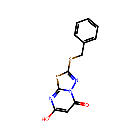 O=c1cc(O)nc2sc(SCc3ccccc3)nn12